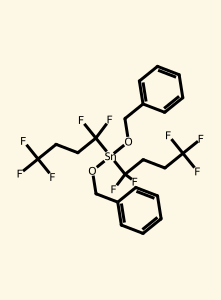 FC(F)(F)CC[C](F)(F)[Sn]([O]Cc1ccccc1)([O]Cc1ccccc1)[C](F)(F)CCC(F)(F)F